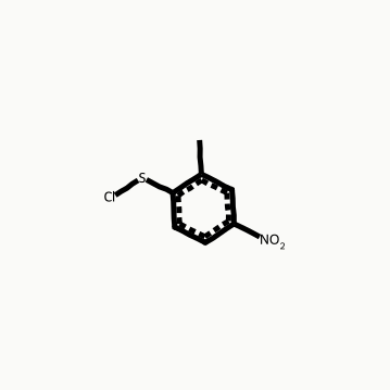 Cc1cc([N+](=O)[O-])ccc1SCl